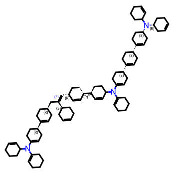 C1=CC(N(C2=CCCCC2)C2=CC[C@H](C3=CC[C@H](C/C(=C/[C@H]4C=C[C@@H]([C@@H]5C=CC(N(C6=CCCCC6)C6=CC[C@@H](C7=CC[C@@H](C8=CC[C@@H](N(C9C=CCCC9)[C@H]9CC=CCC9)CC8)CC7)CC6)CC5)CC4)[C@@H]4CC=CCC4)CC3)CC2)CCC1